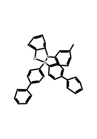 Cc1cccc(N2c3ccccc3O[Si]2(c2ccc(-c3ccccc3)cc2)c2ccc(-c3ccccc3)cc2)c1